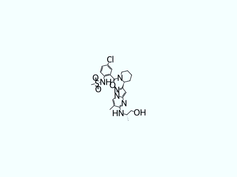 Cc1cn2nc([C@@H]3CCCCN3C(=O)c3cc(Cl)ccc3NS(C)(=O)=O)cc2nc1N[C@@H](C)CO